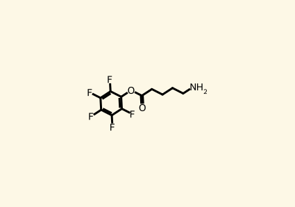 NCCCCC(=O)Oc1c(F)c(F)c(F)c(F)c1F